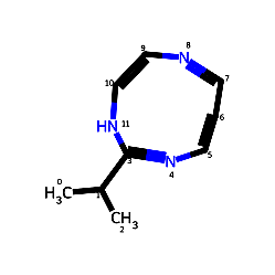 CC(C)c1ncccncc[nH]1